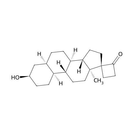 C[C@]12CC[C@H]3[C@@H](CC[C@@H]4C[C@H](O)CC[C@@H]43)[C@@H]1CC[C@@]21CCC1=O